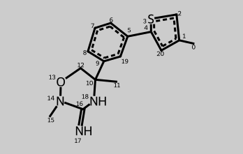 Cc1csc(-c2cccc(C3(C)CON(C)C(=N)N3)c2)c1